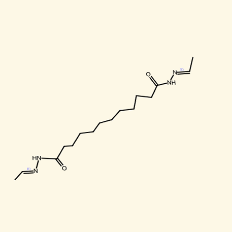 C/C=N/NC(=O)CCCCCCCCCCC(=O)N/N=C/C